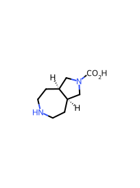 O=C(O)N1C[C@H]2CCNCC[C@H]2C1